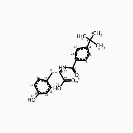 CC(C)(C)c1ccc(C(=O)N[C@@H](Cc2ccc(O)cc2)C(=O)O)cc1